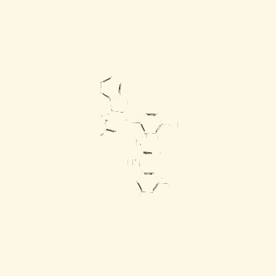 Cc1cc(NC(=O)Nc2cc(C(F)(F)F)ccc2O[C@H]2Cc3ccccc3[C@@H]2NC(=S)C(C)C)cc(C(F)(F)F)c1